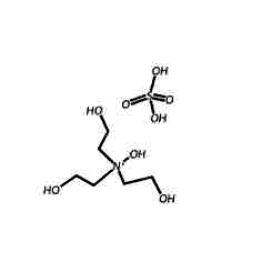 O=S(=O)(O)O.OCC[N+](O)(CCO)CCO